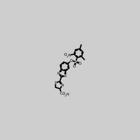 Cc1cc(C)c(S(=O)(=O)Oc2ccc3nc(C4=NC(C(=O)O)CS4)sc3c2)c([N+](=O)[O-])c1